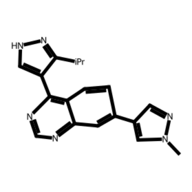 CC(C)c1n[nH]cc1-c1ncnc2cc(-c3cnn(C)c3)ccc12